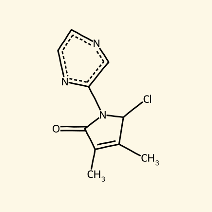 CC1=C(C)C(Cl)N(c2cnccn2)C1=O